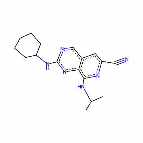 CC(C)Nc1nc(C#N)cc2cnc(NC3CCCCC3)nc12